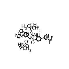 CC(C)(C)CCNC(=N)N(C(=O)c1ccc(-c2cnn(C(F)F)c2)cc1)[C@H](COC(=O)NC1(C)CC1)c1ccc(Cl)c(-n2ccnn2)c1